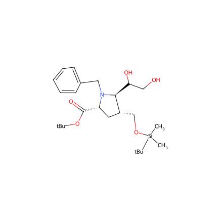 CC(C)(C)OC(=O)[C@H]1C[C@@H](CO[Si](C)(C)C(C)(C)C)[C@H](C(O)CO)N1Cc1ccccc1